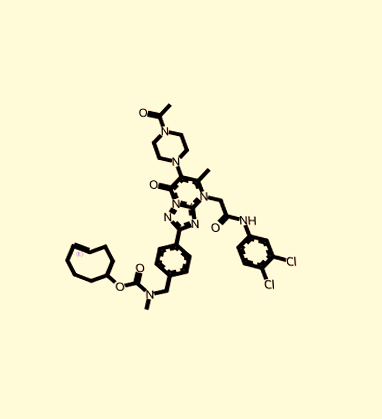 CC(=O)N1CCN(c2c(C)n(CC(=O)Nc3ccc(Cl)c(Cl)c3)c3nc(-c4ccc(CN(C)C(=O)OC5CC/C=C/CCC5)cc4)nn3c2=O)CC1